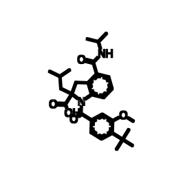 COc1cc(C(=O)N2c3cccc(C(=O)NC(C)C)c3CC2(CC(C)C)C(=O)O)ccc1C(C)(C)C